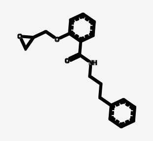 O=C(NCCCc1ccccc1)c1ccccc1OCC1CO1